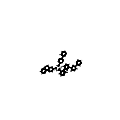 c1ccc(-c2ccc(-c3nc(-c4ccc5c(ccc6ccccc65)c4)nc(-c4cccc5sc6c(-c7cccc(-c8ccccc8)c7)cccc6c45)n3)cc2)cc1